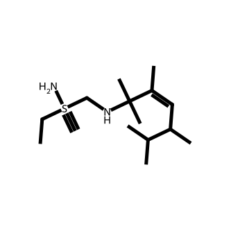 C#S(N)(CC)CNC(C)(C)/C(C)=C\C(C)C(C)C